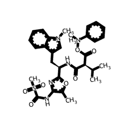 Cc1oc([C@@H](Cc2cn(C)c3ccccc23)NC(=O)[C@@H](C(=O)ON(C)c2ccccc2)C(C)C)nc1NC(=O)S(C)(=O)=O